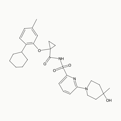 Cc1ccc(C2CCCCC2)c(OC2(C(=O)NS(=O)(=O)c3cccc(N4CCC(C)(O)CC4)n3)CC2)c1